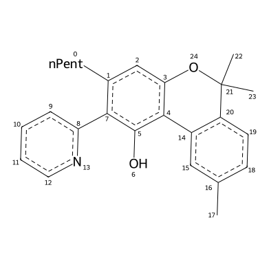 CCCCCc1cc2c(c(O)c1-c1ccccn1)-c1cc(C)ccc1C(C)(C)O2